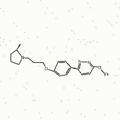 CC(C)Oc1ccc(-c2ccc(OCCCN3CCC[C@H]3C)cc2)nn1